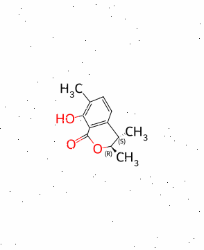 Cc1ccc2c(c1O)C(=O)O[C@H](C)[C@H]2C